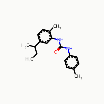 CCC(C)c1ccc(C)c(NC(=O)Nc2ccc(C)cc2)c1